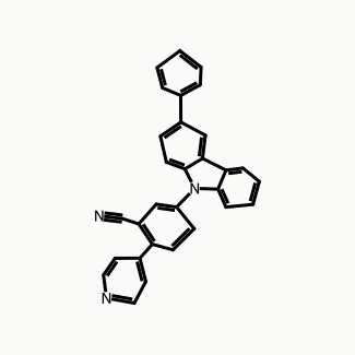 N#Cc1cc(-n2c3ccccc3c3cc(-c4ccccc4)ccc32)ccc1-c1ccncc1